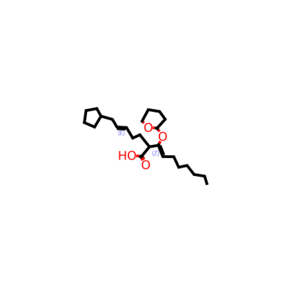 CCCCCC/C=C(\OC1CCCCO1)C(CC/C=C/CC1CCCC1)C(=O)O